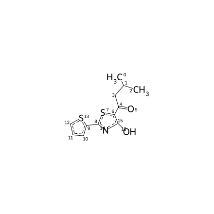 CC(C)CC(=O)c1sc(-c2cccs2)nc1O